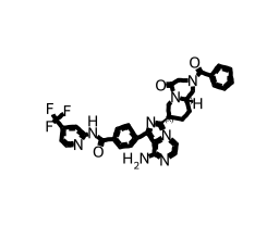 Nc1nccn2c([C@@H]3CC[C@H]4CN(C(=O)c5ccccc5)CC(=O)N4C3)nc(-c3ccc(C(=O)Nc4cc(C(F)(F)F)ccn4)cc3)c12